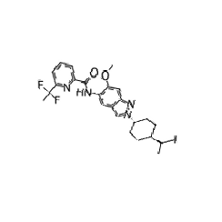 COc1cc2nn([C@H]3CC[C@H](C(C)I)CC3)cc2cc1NC(=O)c1cccc(C(C)(F)F)n1